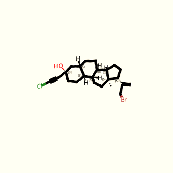 C=C(CBr)[C@H]1CC[C@H]2[C@@H]3CC[C@H]4C[C@](O)(C#CCl)CC[C@@H]4[C@H]3CC[C@]12C